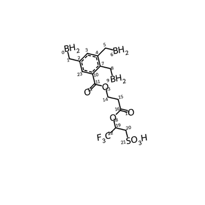 BCc1cc(CB)c(CB)c(C(=O)OCCC(=O)OC(CS(=O)(=O)O)C(F)(F)F)c1